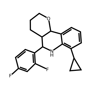 Fc1ccc(C2Nc3c(C4CC4)cccc3C3OCCCC23)c(F)c1